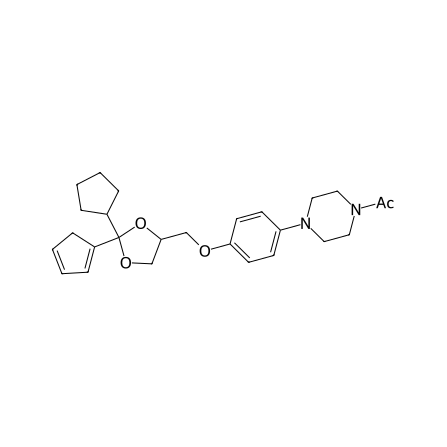 CC(=O)N1CCN(c2ccc(OCC3COC(C4=CC=CC4)(C4CCCC4)O3)cc2)CC1